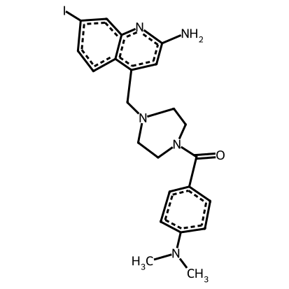 CN(C)c1ccc(C(=O)N2CCN(Cc3cc(N)nc4cc(I)ccc34)CC2)cc1